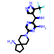 N=C(c1cn[nH]c1C(F)(F)F)c1ncc(N2CCC3(CCC[C@H]3N)CC2)nc1N